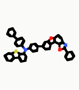 c1ccc(-c2ccc(N(c3ccc(-c4ccc5c(c4)oc4ccc6nc(-c7ccccc7)oc6c45)cc3)c3cccc4c3sc3ccccc34)cc2)cc1